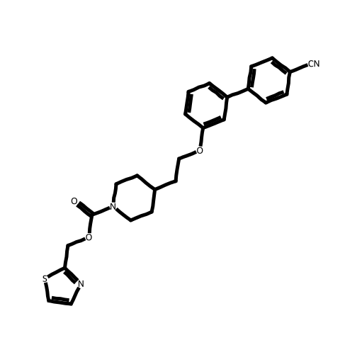 N#Cc1ccc(-c2cccc(OCCC3CCN(C(=O)OCc4nccs4)CC3)c2)cc1